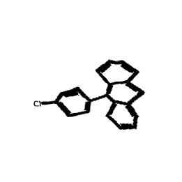 Clc1ccc(-c2c3ccccc3cc3ccccc23)cc1